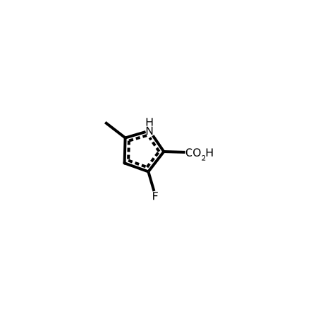 Cc1cc(F)c(C(=O)O)[nH]1